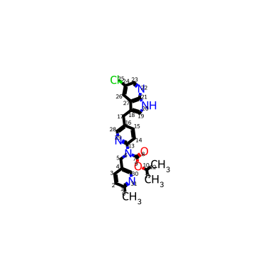 Cc1ccc(CN(C(=O)OC(C)C)c2ccc(Cc3c[nH]c4ncc(Cl)cc34)cn2)cn1